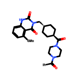 COc1cccc2[nH]c(=O)n(C[C@H]3CC[C@H](C(=O)N4CCN(C(=O)C(C)C)CC4)CC3)c(=O)c12